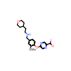 COc1cc(CNCCC2CCOCC2)ccc1Oc1cnc(C(=O)I)cn1